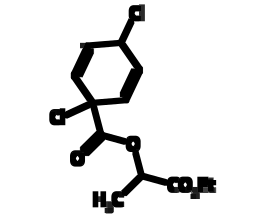 CCOC(=O)C(C)OC(=O)C1(Cl)C=[C]C(Cl)C=C1